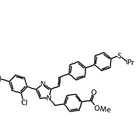 COC(=O)c1ccc(Cn2cc(-c3ccc(Cl)cc3Cl)nc2C=Cc2ccc(-c3ccc(SC(C)C)cc3)cc2)cc1